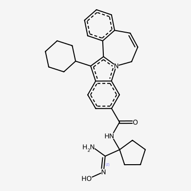 N/C(=N\O)C1(NC(=O)c2ccc3c(C4CCCCC4)c4n(c3c2)CC=Cc2ccccc2-4)CCCC1